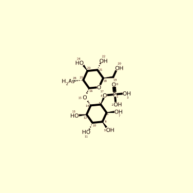 O=P(O)(O)O[C@H]1[C@@H](O)[C@@H](O)[C@H](O)[C@@H](O)[C@@H]1O[C@H]1O[C@H](CO)[C@@H](O)[C@H](O)[C@H]1[AsH2]